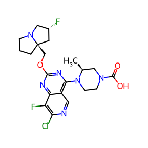 C[C@H]1CN(C(=O)O)CCN1c1nc(OC[C@@]23CCCN2C[C@H](F)C3)nc2c(F)c(Cl)ncc12